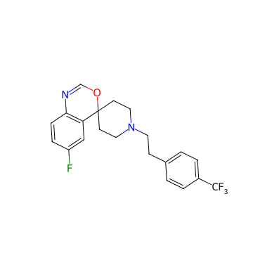 Fc1ccc2c(c1)C1(CCN(CCc3ccc(C(F)(F)F)cc3)CC1)OC=N2